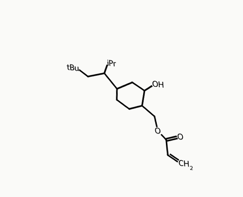 C=CC(=O)OCC1CCC(C(CC(C)(C)C)C(C)C)CC1O